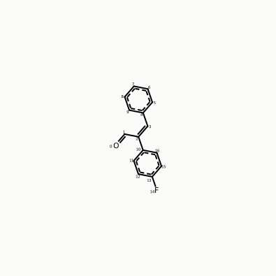 O=CC(=Cc1ccccc1)c1ccc(F)cc1